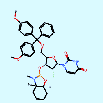 COc1ccc(C(OC[C@H]2O[C@@H](n3ccc(=O)[nH]c3=O)[C@H](F)[C@@H]2OP2O[C@@]3(C)CCCC[C@@H]3N2C)(c2ccccc2)c2ccc(OC)cc2)cc1